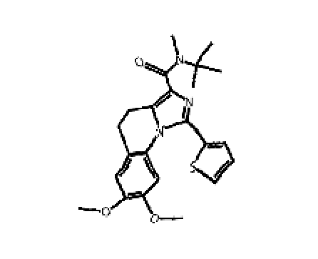 COc1cc2c(cc1OC)-n1c(-c3cccs3)nc(C(=O)N(C)C(C)(C)C)c1CC2